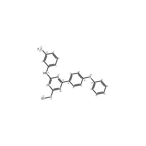 CCOc1nc(Nc2cccc(C(F)(F)F)c2)nc(-c2ccc(Oc3ccccc3)cc2)n1